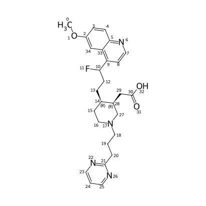 COc1ccc2nccc(C(F)CC[C@@H]3CCN(CCCc4ncccn4)C[C@@H]3CC(=O)O)c2c1